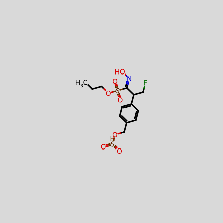 CCCOS(=O)(=O)C(=NO)C(CF)c1ccc(CO[SH](=O)=O)cc1